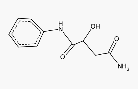 NC(=O)CC(O)C(=O)Nc1ccccc1